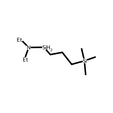 CCN(CC)[SiH2]CCC[Si](C)(C)C